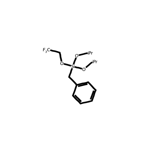 CC(C)O[Si](Cc1ccccc1)(OCC(F)(F)F)OC(C)C